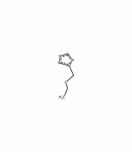 CCSCn1n[c]nn1